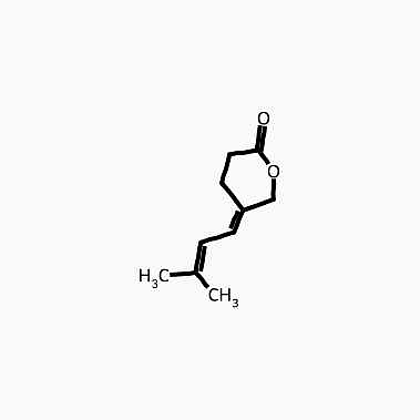 CC(C)=CC=C1CCC(=O)OC1